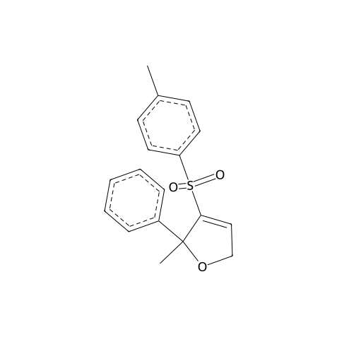 Cc1ccc(S(=O)(=O)C2=CCOC2(C)c2ccccc2)cc1